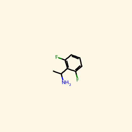 CC(N)c1c(F)cccc1F